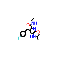 CCNC(=O)c1nc2c(cc1Cc1ccc(F)cc1)NC(C)CO2